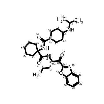 CCC[C@H](NC(=O)C1(NC(=O)N2CCC(NC(C)C)CC2)CCCCC1)C(=O)c1nc2ccccc2o1